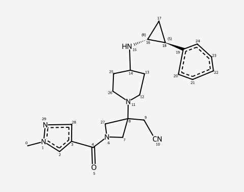 Cn1cc(C(=O)N2CC(CC#N)(N3CCC(N[C@@H]4C[C@H]4c4ccccc4)CC3)C2)cn1